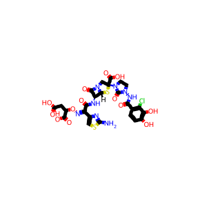 Nc1nc(/C(=N/OC(CC(=O)O)C(=O)O)C(=O)N[C@@H]2C(=O)N3C[C@@](C(=O)O)(N4CCN(NC(=O)c5ccc(O)c(O)c5Cl)C4=O)S[C@H]23)cs1